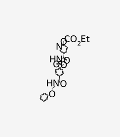 CCOC(=O)Oc1ccc(C(=O)NS(=O)(=O)c2ccc(C(=O)NCCOc3ccccc3)cc2)cn1